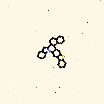 c1ccc2c(c1)ccc1c2c2cc3sc4ccccc4c3cc2n2c3ccccc3cc12